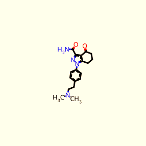 CN(C)CCc1ccc(-n2nc(C(N)=O)c3c2CCCC3=O)cc1